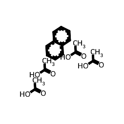 CC(=O)O.CC(=O)O.CC(=O)O.CC(=O)O.c1ccc2ccccc2c1